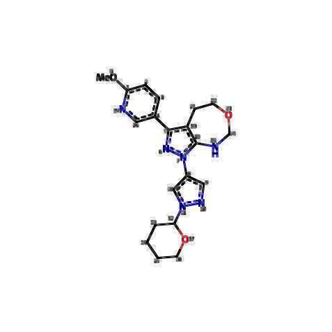 COc1ccc(-c2nn(-c3cnn(C4CCCCO4)c3)c3c2CCOCN3)cn1